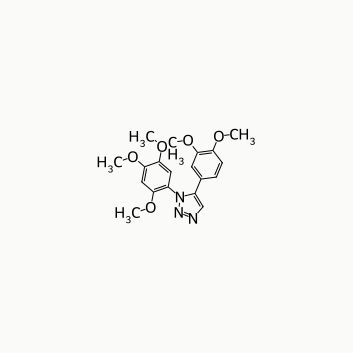 COc1ccc(-c2cnnn2-c2cc(OC)c(OC)cc2OC)cc1OC